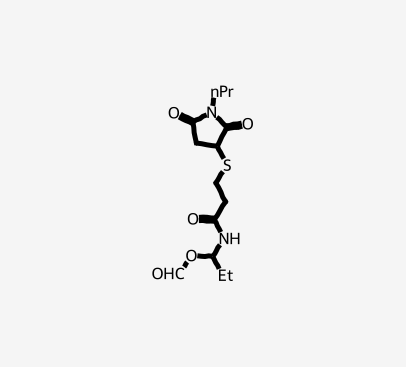 CCCN1C(=O)CC(SCCC(=O)NC(CC)OC=O)C1=O